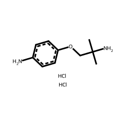 CC(C)(N)COc1ccc(N)cc1.Cl.Cl